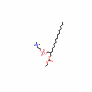 CCCCCCCCCCCCCCC(COC(=O)OCC)COP(=O)([O-])OCC[N+](C)(C)C